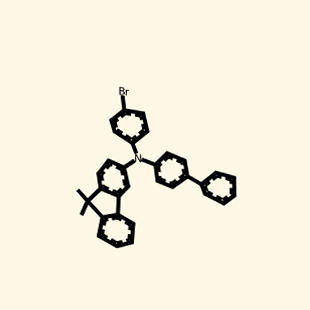 CC1(C)c2ccccc2-c2cc(N(c3ccc(Br)cc3)c3ccc(-c4ccccc4)cc3)ccc21